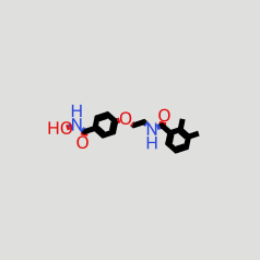 Cc1cccc(C(=O)NCCOc2ccc(C(=O)NO)cc2)c1C